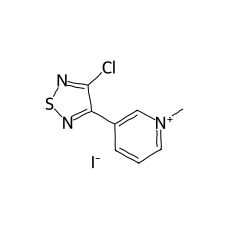 C[n+]1cccc(-c2nsnc2Cl)c1.[I-]